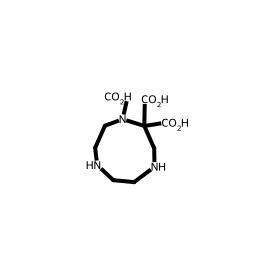 O=C(O)N1CCNCCNCC1(C(=O)O)C(=O)O